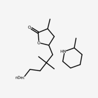 CC1CCCCN1.CCCCCCCCCCCCC(C)(C)CC1CC(C)C(=O)O1